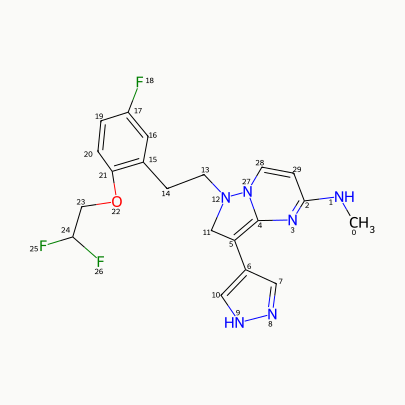 CNC1=NC2=C(c3cn[nH]c3)CN(CCc3cc(F)ccc3OCC(F)F)N2C=C1